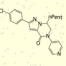 CCCCCC1CN(c2ccncc2)C(=O)c2cc(-c3ccc(Cl)cc3)nn21